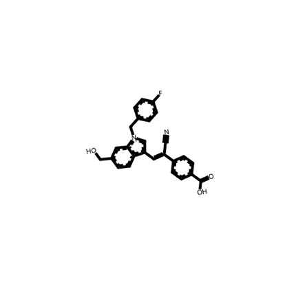 N#C/C(=C\c1cn(Cc2ccc(F)cc2)c2cc(CO)ccc12)c1ccc(C(=O)O)cc1